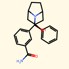 NC(=O)c1cccc(C2(O)CC3CCC(C2)N3Cc2ccccc2)c1